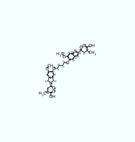 COc1cc2c(cc1OCCCCOc1cc3cc(C(=O)CC(C)C(=O)O)sc3cc1OC)CN(C(=O)CC(C)C(=O)O)C2